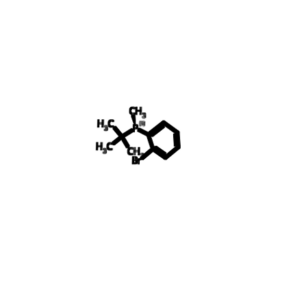 C[P@@](c1ccccc1Br)C(C)(C)C